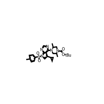 Cc1ccc(S(=O)(=O)n2cc(C3CC3)c3c(N4CC(C)N(C(=O)OC(C)(C)C)CC4C)ncnc32)cc1